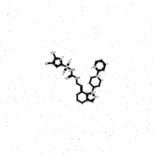 O=C(NCC=C1CCCc2cnn(C3CCN(c4ccccn4)CC3)c21)NS(=O)(=O)c1cc(Cl)c(Cl)s1